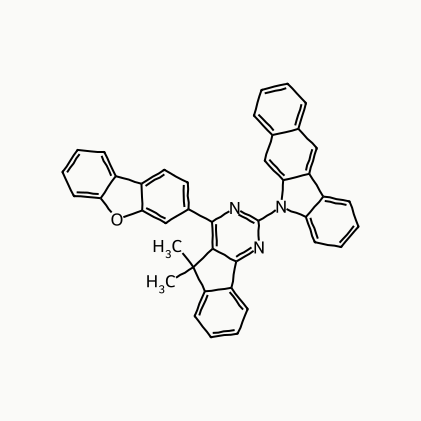 CC1(C)c2ccccc2-c2nc(-n3c4ccccc4c4cc5ccccc5cc43)nc(-c3ccc4c(c3)oc3ccccc34)c21